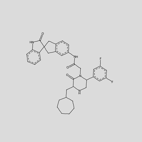 O=C(CN1C(=O)C(CC2CCCCCC2)NCC1c1cc(F)cc(F)c1)Nc1ccc2c(c1)CC1(C2)C(=O)Nc2ccccc21